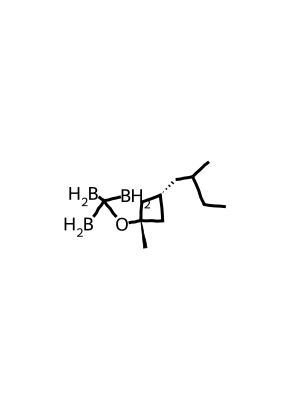 BC(B)(B)O[C@]1(C)C[C@H](CC(C)CC)C1